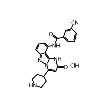 Cl.N#Cc1cccc(C(=O)Nc2cccc3nn4c(C5CCNCC5)cc(=O)[nH]c4c23)c1